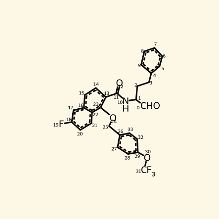 O=CC(CCc1ccccc1)NC(=O)c1ccc2cc(F)ccc2c1OCc1ccc(OC(F)(F)F)cc1